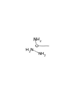 CON.NN